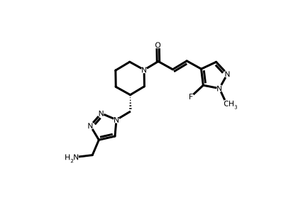 Cn1ncc(/C=C/C(=O)N2CCC[C@@H](Cn3cc(CN)nn3)C2)c1F